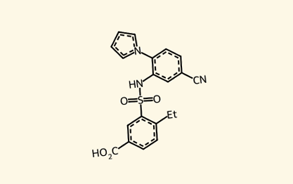 CCc1ccc(C(=O)O)cc1S(=O)(=O)Nc1cc(C#N)ccc1-n1cccc1